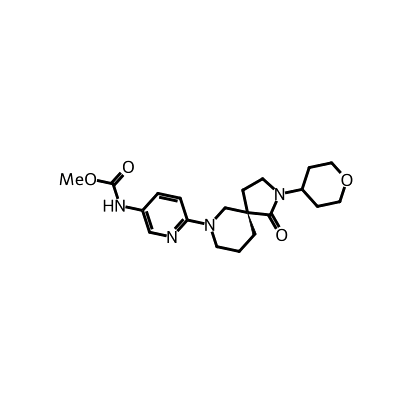 COC(=O)Nc1ccc(N2CCC[C@]3(CCN(C4CCOCC4)C3=O)C2)nc1